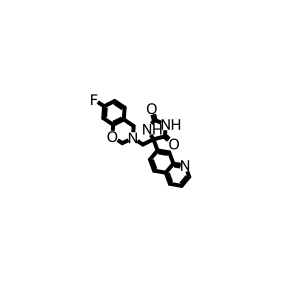 O=C1NC(=O)C(CN2COc3cc(F)ccc3C2)(c2ccc3cccnc3c2)N1